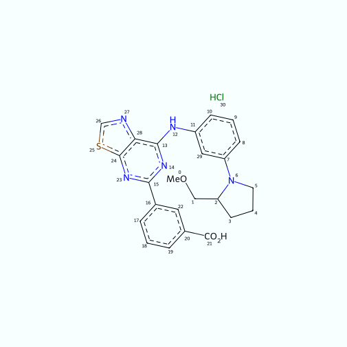 COCC1CCCN1c1cccc(Nc2nc(-c3cccc(C(=O)O)c3)nc3scnc23)c1.Cl